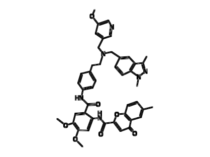 COc1cncc(CN(CCc2ccc(NC(=O)c3cc(OC)c(OC)cc3NC(=O)c3cc(=O)c4cc(C)ccc4o3)cc2)Cc2ccc3c(c2)c(C)nn3C)c1